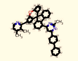 Cc1nc(-c2ccc(-c3ccccc3)cc2)cc(-c2cccc3c2-c2ccccc2C32c3ccccc3Oc3cc(-c4nccc(C)c4C)ccc32)n1